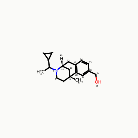 CC(C1CC1)N1CC[C@]2(C)C[C@H]1Cc1ccc(CO)cc12